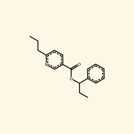 CCCc1ccc(C(=O)OC(CC)c2ccccc2)cn1